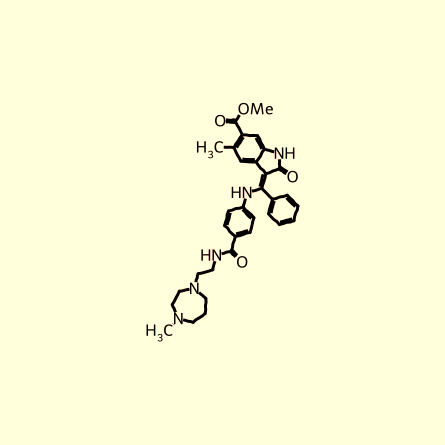 COC(=O)c1cc2c(cc1C)C(=C(Nc1ccc(C(=O)NCCN3CCCN(C)CC3)cc1)c1ccccc1)C(=O)N2